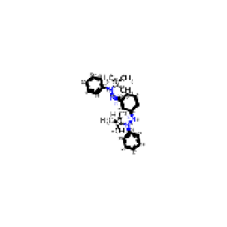 C[Si](C)(C)N(/N=C1/CCC/C(=N\N(c2ccccc2)[Si](C)(C)C)C1)c1ccccc1